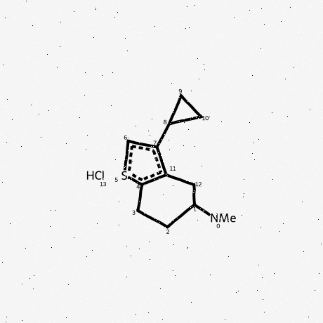 CNC1CCc2scc(C3CC3)c2C1.Cl